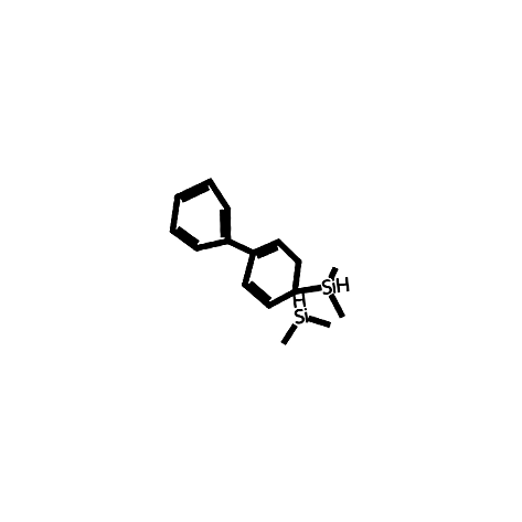 C[SiH](C)C1([SiH](C)C)C=CC(c2ccccc2)=CC1